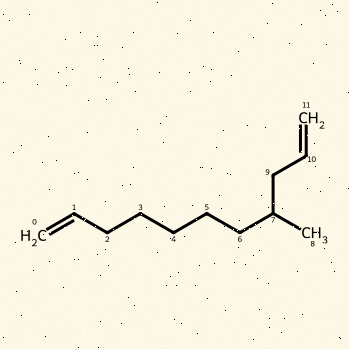 C=CCCCCCC(C)CC=C